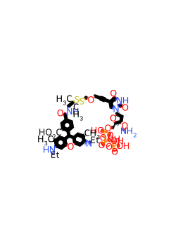 CC/N=C1/C=C2Oc3cc(NCC)c(C)cc3C(c3ccc(C(=O)NCC(C)(C)SSCOCC#Cc4cn([C@H]5CC(ON)[C@@H](COP(=O)(O)OP(=O)(O)OP(=O)(O)O)O5)c(=O)[nH]c4=O)cc3C(=O)O)C2C=C1C